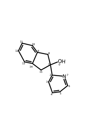 OC1(c2ccccn2)Cc2ccccc2C1